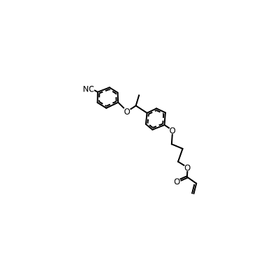 C=CC(=O)OCCCOc1ccc(C(C)Oc2ccc(C#N)cc2)cc1